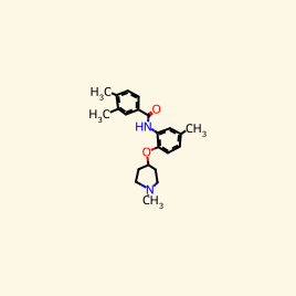 Cc1ccc(OC2CCN(C)CC2)c(NC(=O)c2ccc(C)c(C)c2)c1